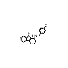 Clc1ccc(CN[C@@H]2CCCc3c2[nH]c2ccccc32)cc1